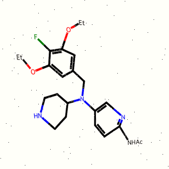 CCOc1cc(CN(c2ccc(NC(C)=O)nc2)C2CCNCC2)cc(OCC)c1F